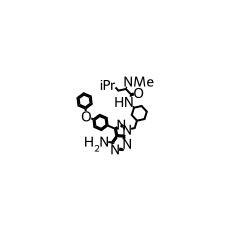 CN[C@H](CC(C)C)C(=O)N[C@H]1CCCC(Cn2nc(-c3ccc(Oc4ccccc4)cc3)c3c(N)ncnc32)C1